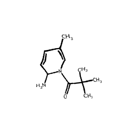 CC1=CN(C(=O)C(C)(C)C)C(N)C=C1